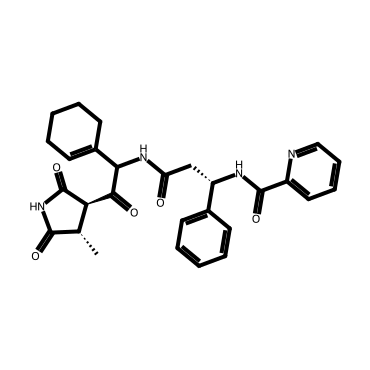 C[C@@H]1C(=O)NC(=O)[C@H]1C(=O)C(NC(=O)C[C@H](NC(=O)c1ccccn1)c1ccccc1)C1=CCCCC1